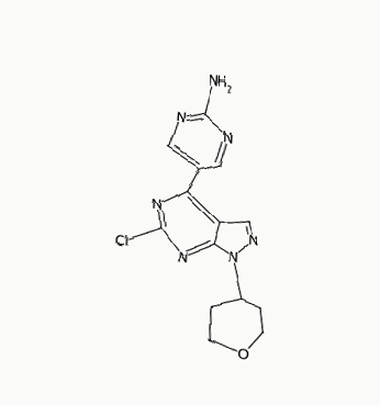 Nc1ncc(-c2nc(Cl)nc3c2cnn3C2CCOCC2)cn1